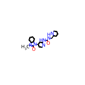 Cn1c(=O)n(-c2ccnc(NC(=O)NCc3ccccn3)c2)c2ccccc21